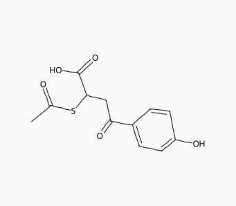 CC(=O)SC(CC(=O)c1ccc(O)cc1)C(=O)O